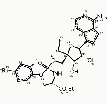 CCOC(=O)[C@H](C)N[P@@](=O)(OC[C@@]1(CF)O[C@@H](c2ccc3c(N)ncnn23)[C@H](O)[C@@H]1O)Oc1ccc(C(C)(C)C)cc1